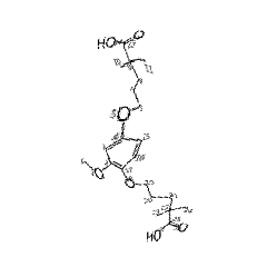 COc1cc(OCCCC(C)(C)C(=O)O)ccc1OCCCC(C)(C)C(=O)O